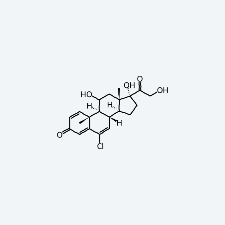 C[C@]12C=CC(=O)C=C1C(Cl)=C[C@@H]1[C@@H]2C(O)C[C@@]2(C)[C@H]1CC[C@]2(O)C(=O)CO